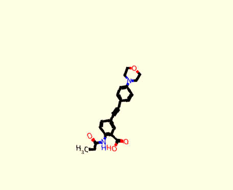 CCC(=O)Nc1ccc(C#Cc2ccc(N3CCOCC3)cc2)cc1C(=O)O